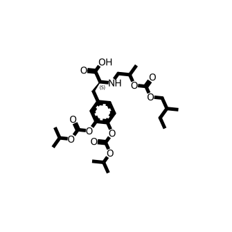 CCC(C)COC(=O)OC(C)CN[C@@H](Cc1ccc(OC(=O)OC(C)C)c(OC(=O)OC(C)C)c1)C(=O)O